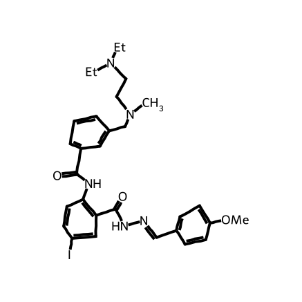 CCN(CC)CCN(C)Cc1cccc(C(=O)Nc2ccc(I)cc2C(=O)NN=Cc2ccc(OC)cc2)c1